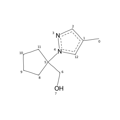 Cc1cnn(C2(CO)CCCC2)c1